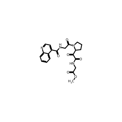 COC(=O)CNC(=O)C(=O)C1CCCN1C(=O)CNC(=O)c1ccnc2ccccc12